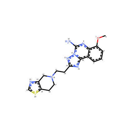 COc1cccc2c1nc(N)n1nc(CCN3CCc4scnc4C3)nc21